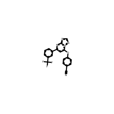 N#Cc1ccc(Oc2cc(-c3cccc(C(F)(F)F)c3)nc3ncnn23)cc1